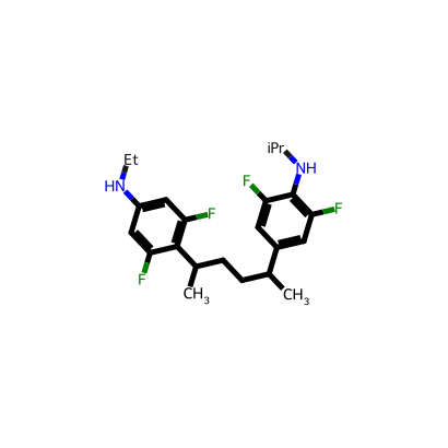 CCNc1cc(F)c(C(C)CCC(C)c2cc(F)c(NC(C)C)c(F)c2)c(F)c1